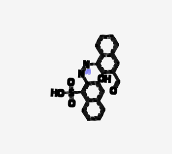 O=Cc1cc2ccccc2c(/N=N\c2ccc3ccccc3c2S(=O)(=O)O)c1O